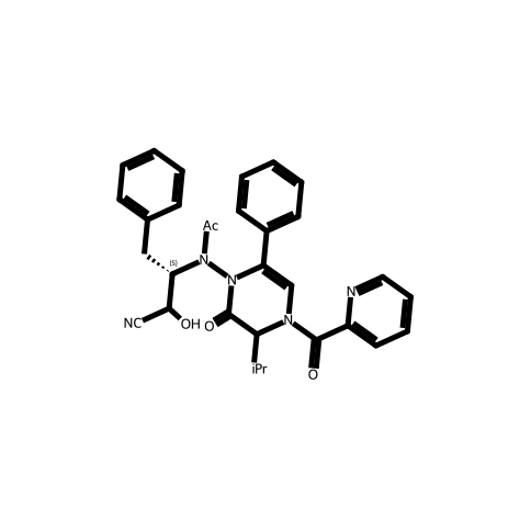 CC(=O)N([C@@H](Cc1ccccc1)C(O)C#N)N1C(=O)C(C(C)C)N(C(=O)c2ccccn2)C=C1c1ccccc1